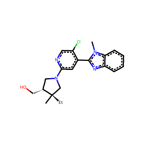 CC[C@]1(C)CN(c2cc(-c3nc4ccccc4n3C)c(Cl)cn2)C[C@H]1CO